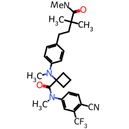 CNC(=O)C(C)(C)CCc1ccc(N(C)C2(C(=O)N(C)c3ccc(C#N)c(C(F)(F)F)c3)CCC2)cc1